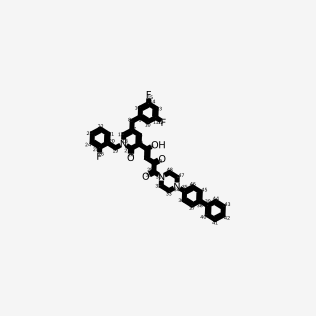 O=C(C=C(O)c1cc(Cc2cc(F)cc(F)c2)cn(Cc2ccccc2F)c1=O)C(=O)N1CCN(c2ccc(-c3ccccc3)cc2)CC1